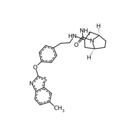 Cc1ccc2nc(Oc3ccc(CCNC4C[C@H]5CC[C@@H](C4)N5C(N)=O)cc3)sc2c1